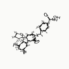 O=C(NO)c1ccc(Cn2ccc(C3(c4c(F)cc(F)cc4F)CCCO3)cc2=O)cc1